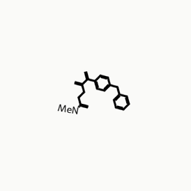 C=C(CCC(=C)C(=C)c1ccc(Cc2ccccc2)cc1)NC